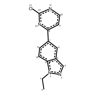 CCn1ncc2cc(-c3ccnc(Cl)n3)ccc21